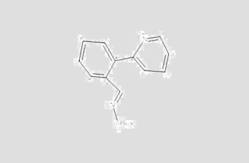 CCCCCCN=Cc1ccccc1-c1ccccn1